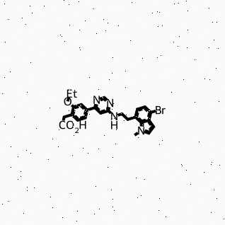 CCOc1cc(-c2cc(NCCc3ccc(Br)c4ccn(C)c34)ncn2)ccc1CC(=O)O